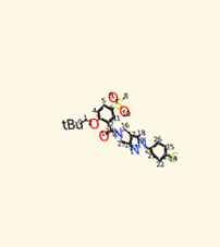 CC(C)(C)COc1ccc(S(C)(=O)=O)cc1C(=O)N1Cc2cn(-c3ccc(F)cc3)nc2C1